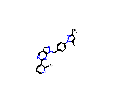 Cc1cc(C(F)(F)F)nn1-c1ccc(Cn2ncc3cnc(-c4cccnc4C(C)C)nc32)cc1